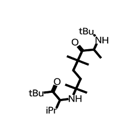 CC(NC(C)(C)C)C(=O)C(C)(C)CCC(C)(C)NC(C(=O)C(C)(C)C)C(C)C